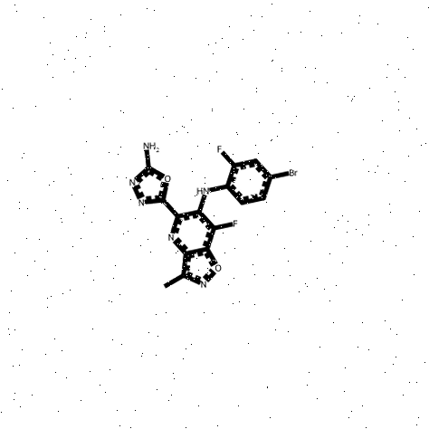 Cc1noc2c(F)c(Nc3ccc(Br)cc3F)c(-c3nnc(N)o3)nc12